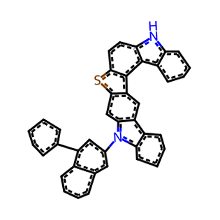 c1ccc(-c2cc(-n3c4ccccc4c4cc5c(cc43)sc3ccc4[nH]c6ccccc6c4c35)cc3ccccc23)cc1